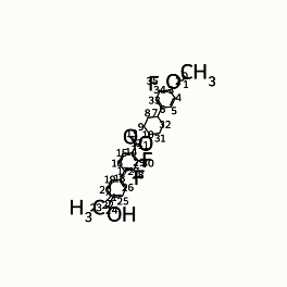 CCOc1ccc(C2CCC(OC(=O)c3ccc(-c4ccc(C(C)O)cc4)c(F)c3F)CC2)cc1F